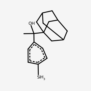 CC(O)(c1ccc([SiH3])cc1)C12CC3CC(CC(C3)C1)C2